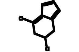 ClC1=C2C=CC=C2CC(Cl)C1